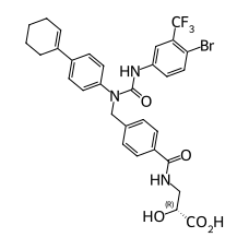 O=C(NC[C@@H](O)C(=O)O)c1ccc(CN(C(=O)Nc2ccc(Br)c(C(F)(F)F)c2)c2ccc(C3=CCCCC3)cc2)cc1